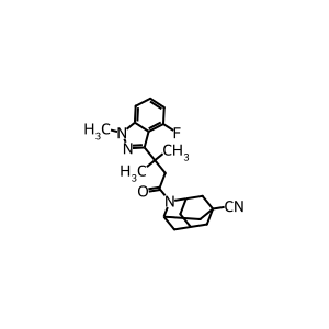 Cn1nc(C(C)(C)CC(=O)N2C3CC4CC2CC(C#N)(C4)C3)c2c(F)cccc21